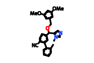 COc1cc(COC(c2ccc(C#N)c(-c3ccccc3C)c2)c2cncn2C)cc(OC)c1